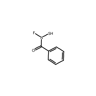 O=C(c1ccccc1)N(F)S